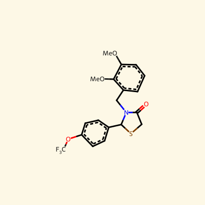 COc1cccc(CN2C(=O)CSC2c2ccc(OC(F)(F)F)cc2)c1OC